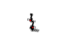 CCC(=O)OC(\C(C)=C/C=C\C=C\Cc1cnco1)C(C)(C)C(=O)NC\C=C/C=C/C=C/C=C/C(=O)N(OC(=O)CC)C1(C(=O)N(C)C(C(=O)OC)C(C)OC)COCO1